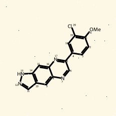 COc1ccc(-c2cnc3cc4cn[nH]c4cc3n2)cc1Cl